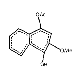 COc1cc(OC(C)=O)c2ccccc2c1O